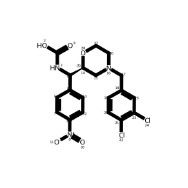 O=C(O)NC(c1ccc([N+](=O)[O-])cc1)[C@@H]1CN(Cc2ccc(Cl)c(Cl)c2)CCO1